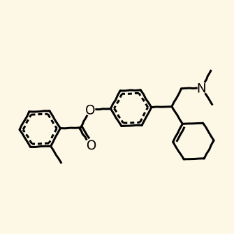 Cc1ccccc1C(=O)Oc1ccc(C(CN(C)C)C2=CCCCC2)cc1